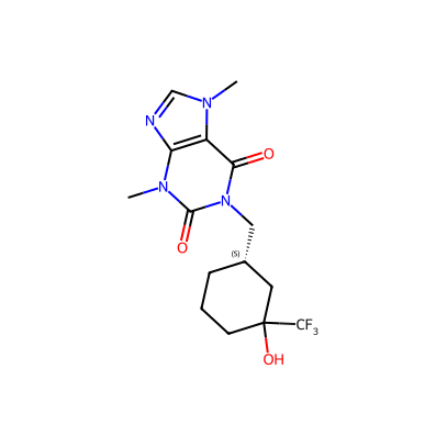 Cn1cnc2c1c(=O)n(C[C@H]1CCCC(O)(C(F)(F)F)C1)c(=O)n2C